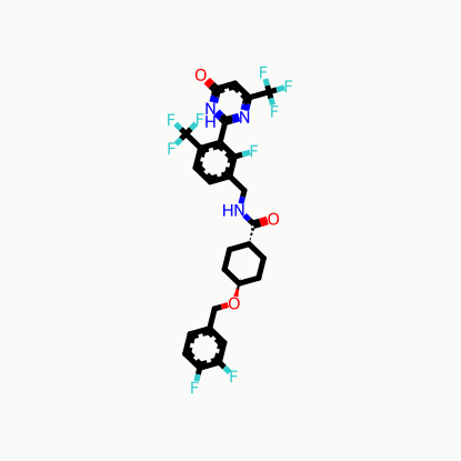 O=c1cc(C(F)(F)F)nc(-c2c(C(F)(F)F)ccc(CNC(=O)[C@H]3CC[C@H](OCc4ccc(F)c(F)c4)CC3)c2F)[nH]1